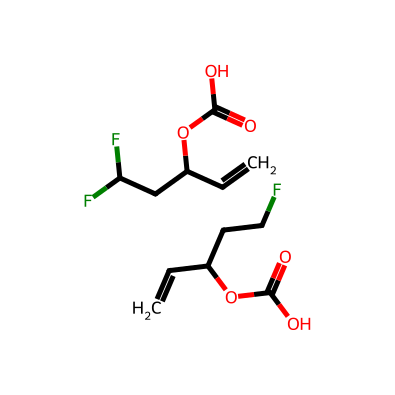 C=CC(CC(F)F)OC(=O)O.C=CC(CCF)OC(=O)O